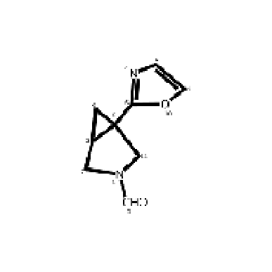 O=CN1CC2CC2(c2ncco2)C1